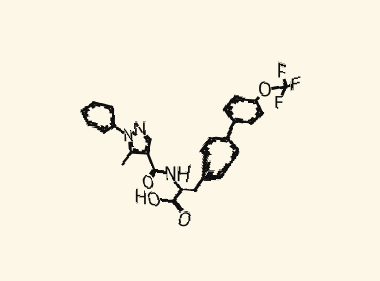 Cc1c(C(=O)N[C@@H](Cc2ccc(-c3ccc(OC(F)(F)F)cc3)cc2)C(=O)O)cnn1-c1ccccc1